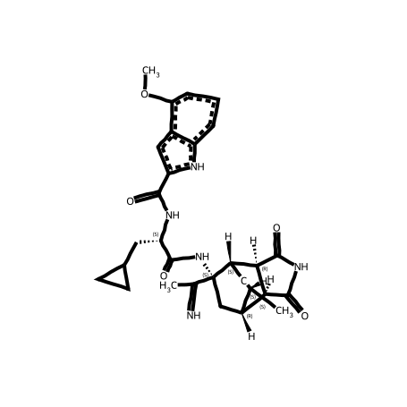 COc1cccc2[nH]c(C(=O)N[C@@H](CC3CC3)C(=O)N[C@@]3(C(C)=N)C[C@H]4[C@@H]5C(=O)NC(=O)[C@@H]5[C@@H]3C[C@@H]4C)cc12